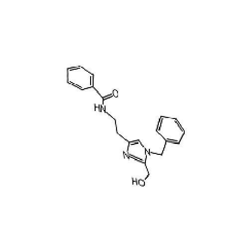 O=C(NCCc1cn(Cc2ccccc2)c(CO)n1)c1ccccc1